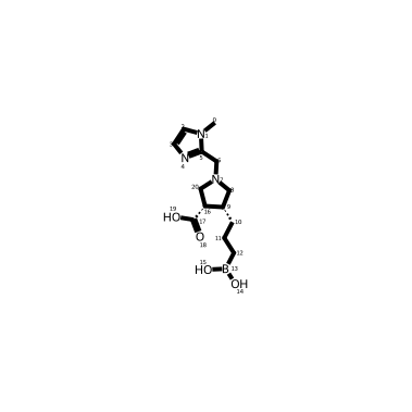 Cn1ccnc1CN1C[C@H](CCCB(O)O)[C@H](C(=O)O)C1